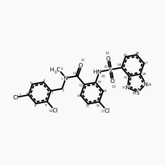 CN(Cc1ccc(Cl)cc1Cl)C(=O)c1ccc(Cl)cc1NS(=O)(=O)c1cccc2nsnc12